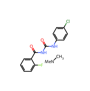 CNC.O=C(NC(=O)c1ccccc1F)Nc1ccc(Cl)cc1